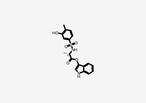 Cc1ccc(S(=O)(=O)N[C@@H](C)C(=O)Oc2c[nH]c3ccccc23)cc1O